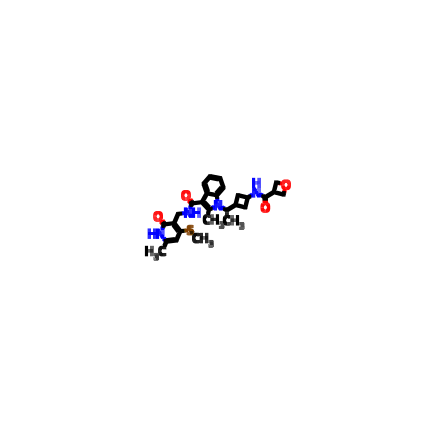 CSc1cc(C)[nH]c(=O)c1CNC(=O)c1c(C)n([C@H](C)C2CC(NC(=O)C3COC3)C2)c2ccccc12